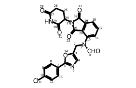 O=CN(Cc1cnc(-c2ccc(Cl)cc2)o1)c1cccc2c1C(=O)N(C1CCC(=O)NC1=O)C2=O